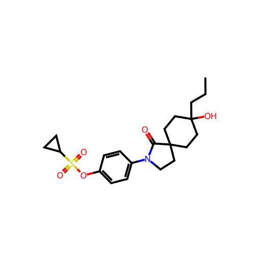 CCCC1(O)CCC2(CCN(c3ccc(OS(=O)(=O)C4CC4)cc3)C2=O)CC1